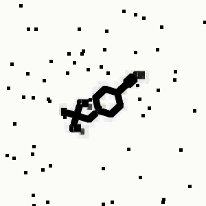 C#CC1CCN(CC(C)(C)F)CC1